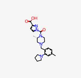 Cc1ccc(CN2CCN(C(=O)n3ccc(C(=O)O)n3)[C@@H](C)C2)c(N2CCCC2)c1